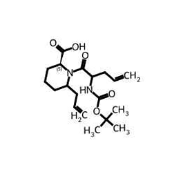 C=CCC(NC(=O)OC(C)(C)C)C(=O)N1C(CC=C)CCC[C@H]1C(=O)O